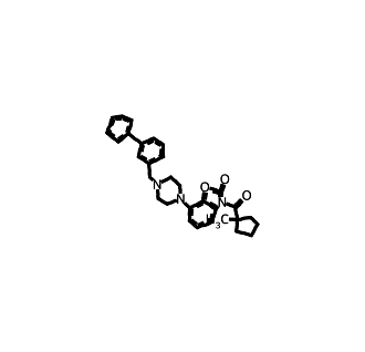 CC1(C(=O)n2c(=O)oc3c(N4CCN(Cc5cccc(-c6ccccc6)c5)CC4)cccc32)CCCC1